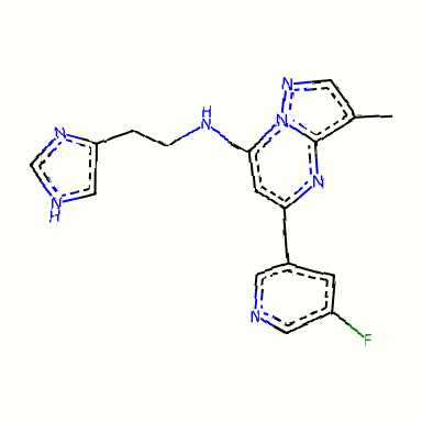 Cc1cnn2c(NCCc3c[nH]cn3)cc(-c3cncc(F)c3)nc12